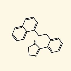 c1ccc(C2=NCCN2)c(CCc2cccc3ccccc23)c1